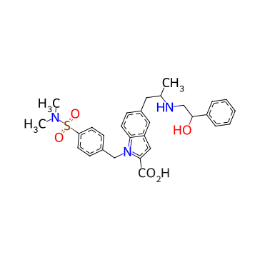 CC(Cc1ccc2c(c1)cc(C(=O)O)n2Cc1ccc(S(=O)(=O)N(C)C)cc1)NCC(O)c1ccccc1